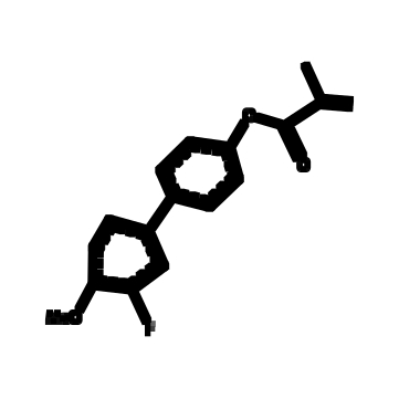 C=C(C)C(=O)Oc1ccc(-c2ccc(OC)c(F)c2)cc1